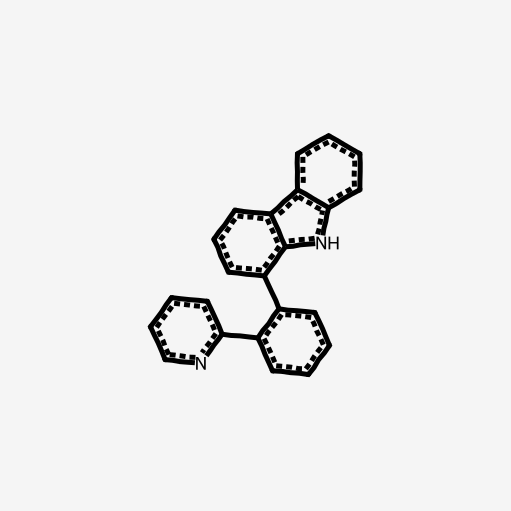 c1ccc(-c2ccccc2-c2cccc3c2[nH]c2ccccc23)nc1